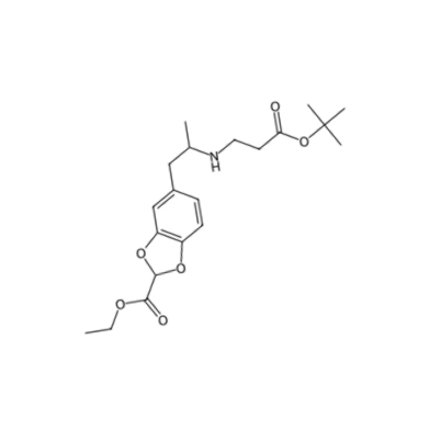 CCOC(=O)C1Oc2ccc(CC(C)NCCC(=O)OC(C)(C)C)cc2O1